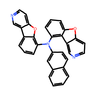 c1ccc2cc(N(c3cccc4c3oc3ccncc34)c3cccc4oc5ccncc5c34)ccc2c1